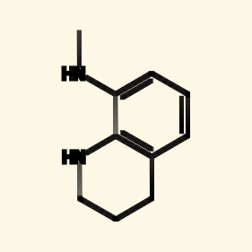 CNc1cccc2c1NCCC2